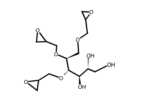 OC[C@@H](O)[C@@H](O)[C@H](OCC1CO1)[C@H](COCC1CO1)OCC1CO1